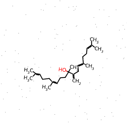 C=C(C/C=C(\C)CCC=C(C)C)C(C)(O)CCC=C(C)CCC=C(C)C